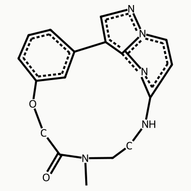 CN1CCNc2ccn3ncc(c3n2)-c2cccc(c2)OCC1=O